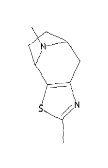 Cc1nc2c(s1)C1CCC(C2)N1C